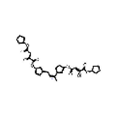 C/C(=C/CC1CCC(OC(=O)C(=O)CC(=O)OC2CCCC2)C1)C1CCC(OC(=O)/C=C(\O)C(=O)OC2CCCC2)C1